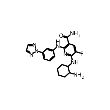 NC(=O)c1cc(F)c(NC2CCCCC2N)nc1Nc1cccc(-n2nccn2)c1